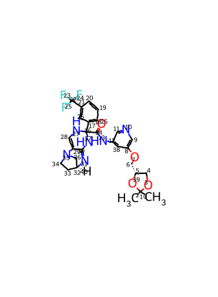 CC1(C)OC[C@@H](COc2cncc(NC(=O)C3(c4cccc(C(F)(F)F)c4)NC=C4C(=N[C@H]5CCN4C5)N3)c2)O1